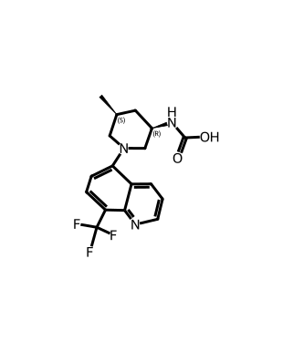 C[C@H]1C[C@@H](NC(=O)O)CN(c2ccc(C(F)(F)F)c3ncccc23)C1